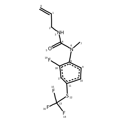 C=CCNC(=O)N(C)c1ccc(SC(F)(F)F)cc1F